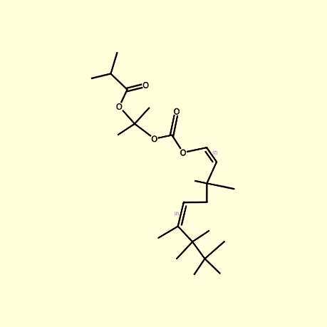 C/C(=C/CC(C)(C)/C=C\OC(=O)OC(C)(C)OC(=O)C(C)C)C(C)(C)C(C)(C)C